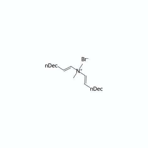 CCCCCCCCCCC=C[N+](C)(C)C=CCCCCCCCCCC.[Br-]